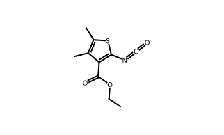 CCOC(=O)c1c(N=C=O)sc(C)c1C